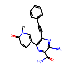 CC(C)n1cc(-c2nc(C(N)=O)c(N)nc2C#Cc2ccccc2)ccc1=O